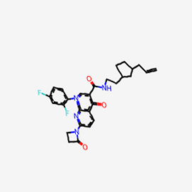 C=CCC1CCC(CCNC(=O)c2cn(-c3ccc(F)cc3F)c3nc(N4CCC4=O)ccc3c2=O)C1